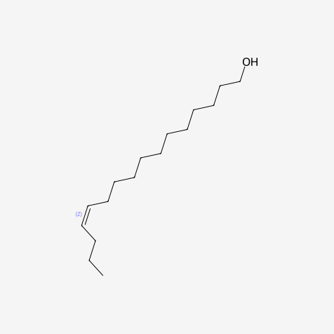 CCC/C=C\CCCCCCCCCCCO